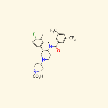 Cc1cc([C@@H]2CN(C3CCN(C(=O)O)CC3)CC[C@H]2N(C)C(=O)c2cc(C(F)(F)F)cc(C(F)(F)F)c2)ccc1F